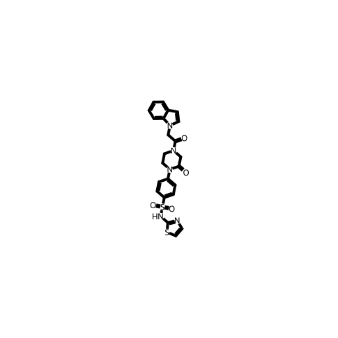 O=C(Cn1ccc2ccccc21)N1CCN(c2ccc(S(=O)(=O)Nc3nccs3)cc2)C(=O)C1